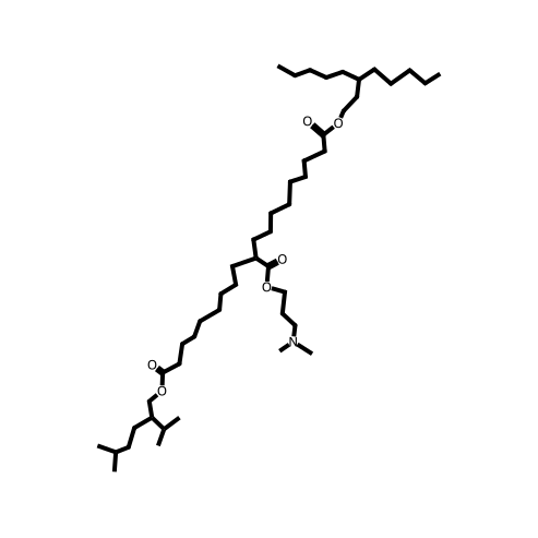 CCCCCC(CCCCC)CCOC(=O)CCCCCCCCC(CCCCCCCCC(=O)OCC(CCC(C)C)C(C)C)C(=O)OCCCN(C)C